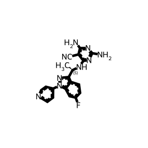 C[C@H](Nc1nc(N)nc(N)c1C#N)c1nn(-c2ccncc2)c2cc(F)ccc12